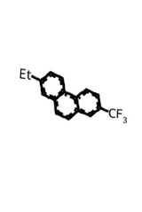 CCc1ccc2c(ccc3cc(C(F)(F)F)ccc32)c1